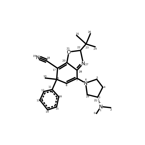 CN(C)[C@H]1CCN(C2=CC(C)(c3ccccc3)C(C#N)=C3OC(C(C)(C)C)N=C23)C1